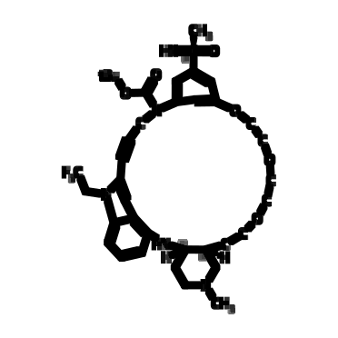 CN1CC[C@@H]2Nc3cccc4c3cc(n4CC(F)(F)F)C#CCN(C(=O)OC(C)(C)C)c3cc(cc([S@](C)(=N)=O)c3)OCCOCCOCC[C@H]2C1